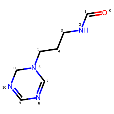 O=[C]NCCCN1C=NC=NC1